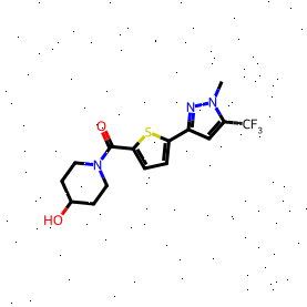 Cn1nc(-c2ccc(C(=O)N3CCC(O)CC3)s2)cc1C(F)(F)F